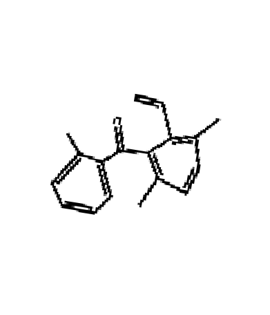 C=Cc1c(C)ccc(C)c1C(=O)c1ccccc1C